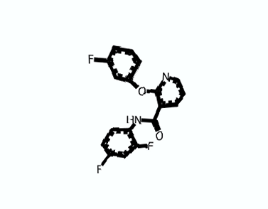 O=C(Nc1ccc(F)cc1F)c1cccnc1Oc1cccc(F)c1